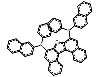 c1ccc(N(c2ccc3ccccc3c2)c2cc3ccccc3c3c2oc2c(N(c4ccccc4)c4ccc5ccccc5c4)cc4ccccc4c23)cc1